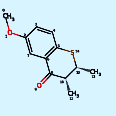 COc1ccc2c(c1)C(=O)[C@@H](C)[C@@H](C)S2